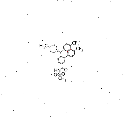 CC1CCN(C(c2ccc(C(F)(F)F)cc2)c2ccc(C(=O)NS(C)(=O)=O)cc2-c2ccc(C(F)(F)F)cc2)CC1